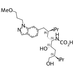 COCCCn1ncc2ccc(C[C@H](C[C@H](NC(=O)O)[C@@H](O)C[C@H](CO)C(C)C)C(C)C)cc21